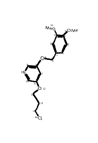 COc1ccc(COc2cncc(OCCCCl)c2)cc1OC